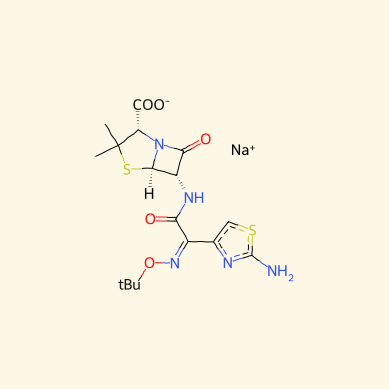 CC(C)(C)O/N=C(\C(=O)N[C@H]1C(=O)N2[C@@H]1SC(C)(C)[C@@H]2C(=O)[O-])c1csc(N)n1.[Na+]